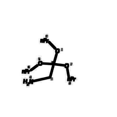 CCCOC(CN)(OCCC)OCCC